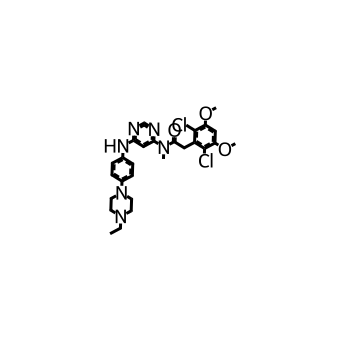 CCN1CCN(c2ccc(Nc3cc(N(C)C(=O)Cc4c(Cl)c(OC)cc(OC)c4Cl)ncn3)cc2)CC1